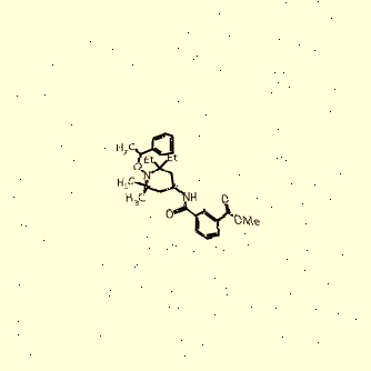 CCC1(CC)CC(NC(=O)c2cccc(C(=O)OC)c2)CC(C)(C)N1OC(C)c1ccccc1